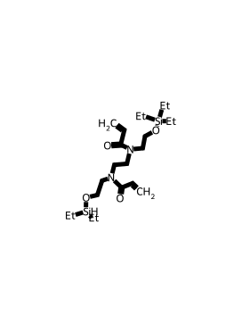 C=CC(=O)N(CCO[SiH](CC)CC)CCN(CCO[Si](CC)(CC)CC)C(=O)C=C